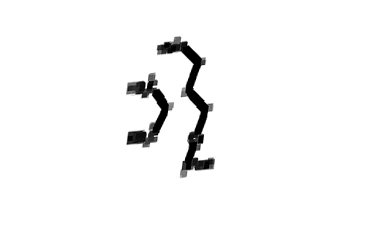 CCCCCCCCCCC[CH2][Ca][CH2]CCCC.O=C(O)CC(=O)O